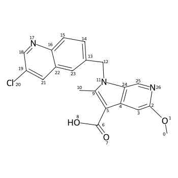 COc1cc2c(C(=O)O)c(C)n(Cc3ccc4ncc(Cl)cc4c3)c2cn1